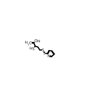 C=C(O)C(S)CCSSc1ccccn1